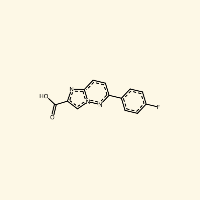 O=C(O)c1cn2nc(-c3ccc(F)cc3)ccc2n1